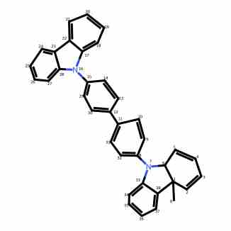 CC12C=CC=CC1N(c1ccc(-c3ccc(-n4c5ccccc5c5ccccc54)cc3)cc1)c1ccccc12